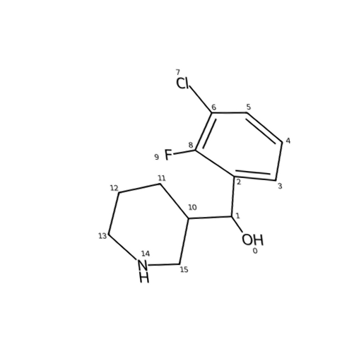 OC(c1cccc(Cl)c1F)C1CCCNC1